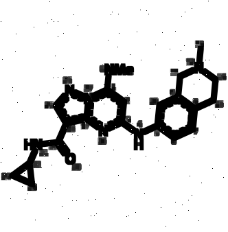 CNc1cc(Nc2ccc3c(c2)CN(C)CC3)nc2c(C(=O)NC3CC3)cnn12